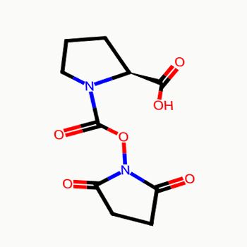 O=C(O)[C@@H]1CCCN1C(=O)ON1C(=O)CCC1=O